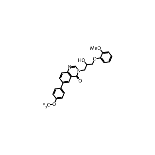 COc1ccccc1OCC(O)Cn1cnc2ccc(-c3ccc(OC(F)(F)F)cc3)cc2c1=O